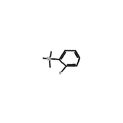 [CH3][Sn]([CH3])([CH3])[c]1ccccc1F